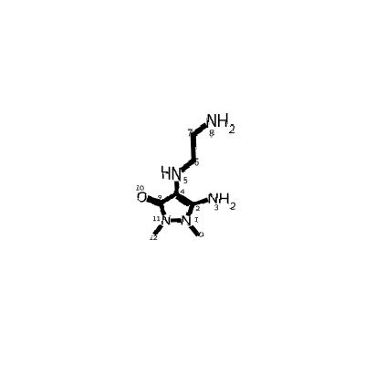 Cn1c(N)c(NCCN)c(=O)n1C